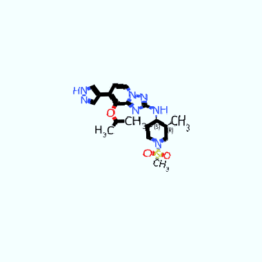 CC(C)Oc1c(-c2cn[nH]c2)ccn2nc(N[C@H]3CCN(S(C)(=O)=O)C[C@H]3C)nc12